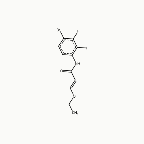 CCOC=CC(=O)Nc1ccc(Br)c(F)c1I